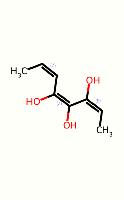 C\C=C/C(O)=C(O)\C(O)=C/C